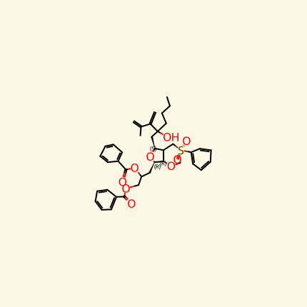 C=C(C)C(=C)C(O)(CCCC)C[C@@H]1O[C@H](CC(COC(=O)c2ccccc2)OC(=O)c2ccccc2)[C@H](OC)C1CS(=O)(=O)c1ccccc1